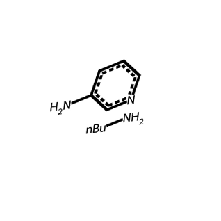 CCCCN.Nc1cccnc1